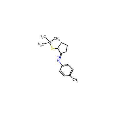 Cc1ccc(/N=C2\CCCC2S[Si](C)(C)C)cc1